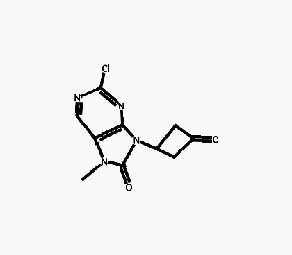 Cn1c(=O)n(C2CC(=O)C2)c2nc(Cl)ncc21